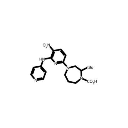 CC(C)(C)C1CN(c2ccc([N+](=O)[O-])c(Nc3ccncc3)n2)CCCN1C(=O)O